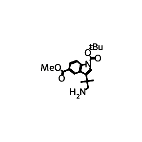 COC(=O)c1ccc2c(c1)c(C(C)(C)CN)cn2C(=O)OC(C)(C)C